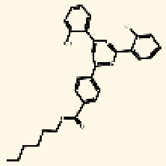 CCCCCCOC(=O)c1ccc(-c2nc(-c3ccccc3O)nc(-c3ccccc3O)n2)cc1